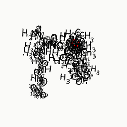 CC[C@H](C)[C@@H]([C@@H](CC(=O)N1CCC[C@H]1C(OC)[C@@H](C)C(=O)N[C@H](C)C(O)c1ccccc1)OC)N(C)C(=O)[C@@H](NC(=O)[C@H](C(C)C)N(C)C(=O)OC(C(=O)ON1C(=O)CCC1=O)c1ccc(NC(=O)[C@H](CCCNC(N)=O)NC(=O)[C@@H](NC(=O)CNC(=O)CNC(=O)CNC(=O)CCN2C(=O)C=CC2=O)C(C)C)cc1)C(C)C